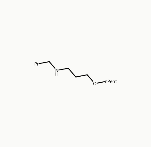 CCCCCOCCCNCC(C)C